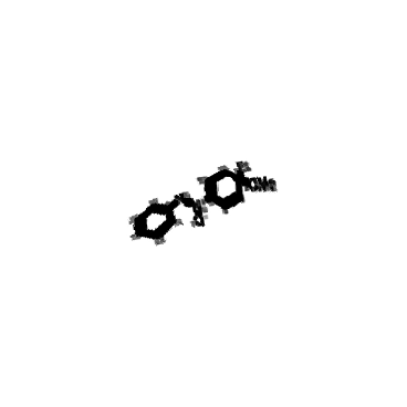 CCC1(OC)C=CC([N+]([O-])=Nc2ccccc2)=CC1